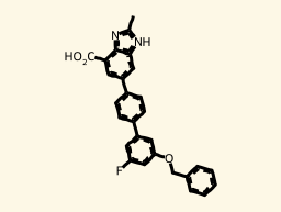 Cc1nc2c(C(=O)O)cc(-c3ccc(-c4cc(F)cc(OCc5ccccc5)c4)cc3)cc2[nH]1